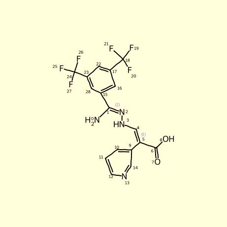 N/C(=N\N/C=C(/C(=O)O)c1cccnc1)c1cc(C(F)(F)F)cc(C(F)(F)F)c1